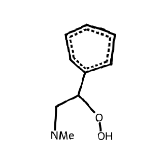 CNCC(OO)c1ccccc1